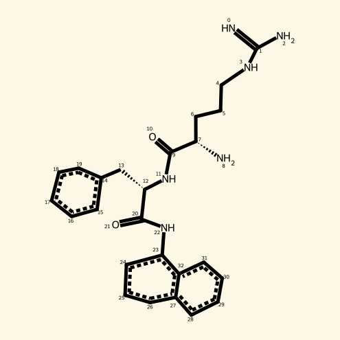 N=C(N)NCCC[C@H](N)C(=O)N[C@@H](Cc1ccccc1)C(=O)Nc1cccc2ccccc12